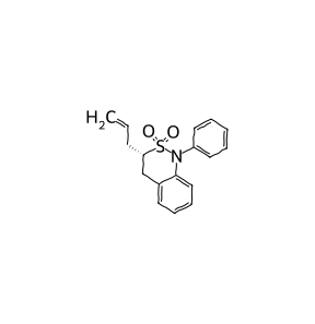 C=CC[C@H]1Cc2ccccc2N(c2ccccc2)S1(=O)=O